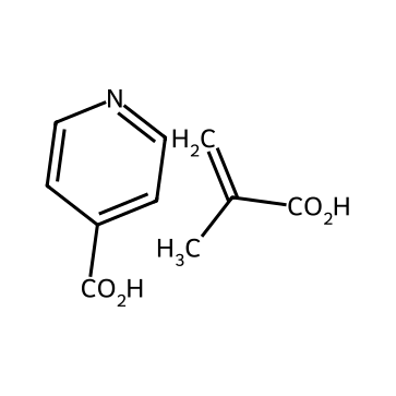 C=C(C)C(=O)O.O=C(O)c1ccncc1